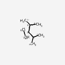 CC(C)CC(C)C.OCl